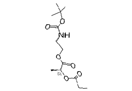 CCC(=O)O[C@@H](C)C(=O)OCCNC(=O)OC(C)(C)C